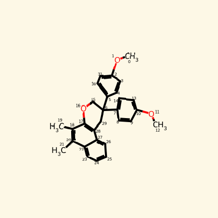 COc1ccc(C2(c3ccc(OC)cc3)COc3c(C)c(C)c4ccccc4c3C2)cc1